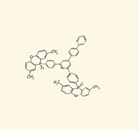 Cc1ccc2c(c1)P(=O)(c1ccc(-c3cc(-c4ccc(-c5ccccc5)cc4)cc(-c4ccc(P5(=O)c6cc(C)ccc6Oc6ccc(C)cc65)cc4)n3)cc1)c1cc(C)ccc1O2